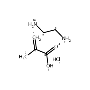 C=C(C)C(=O)O.Cl.NCCN